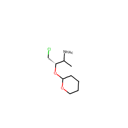 C[C](NC(C)=O)[C@@H](CCl)OC1CCCCO1